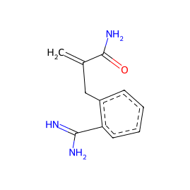 C=C(Cc1ccccc1C(=N)N)C(N)=O